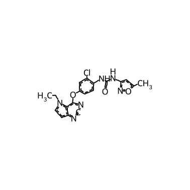 CCn1ccc2ncnc(Oc3ccc(NC(=O)Nc4cc(C)on4)c(Cl)c3)c21